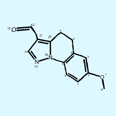 COc1ccc2c(c1)CCc1c(C=O)cnn1-2